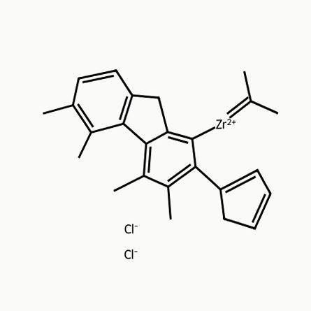 C[C](C)=[Zr+2][c]1c2c(c(C)c(C)c1C1=CC=CC1)-c1c(ccc(C)c1C)C2.[Cl-].[Cl-]